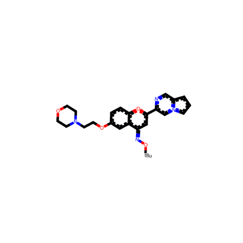 CC(C)(C)ON=c1cc(-c2cn3cccc3cn2)oc2ccc(OCCN3CCOCC3)cc12